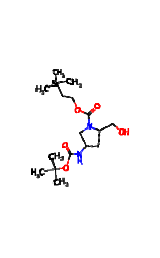 CC(C)(C)OC(=O)NC1CC(CO)N(C(=O)OCC[Si](C)(C)C)C1